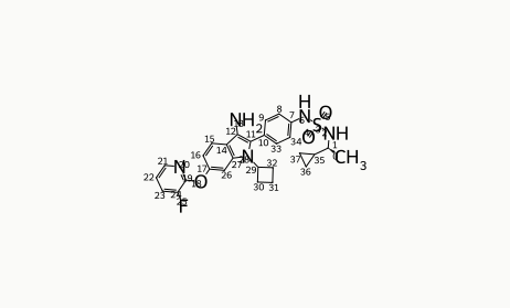 C[C@H](NS(=O)(=O)Nc1ccc(-c2c(N)c3ccc(Oc4ncccc4F)cc3n2C2CCC2)cc1)C1CC1